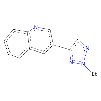 CCn1ncc(-c2cnc3ccccc3c2)n1